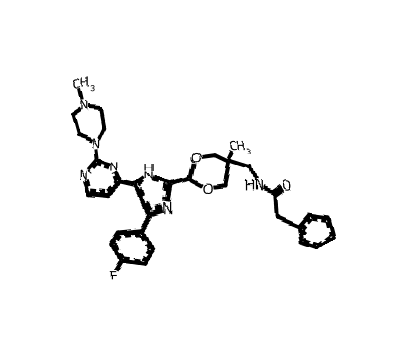 CN1CCN(c2nccc(-c3[nH]c(C4OCC(C)(CNC(=O)Cc5ccccc5)CO4)nc3-c3ccc(F)cc3)n2)CC1